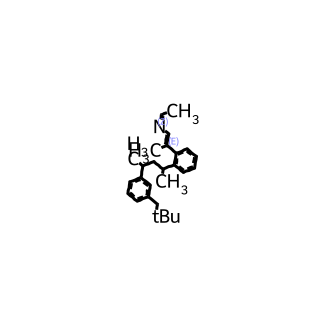 C/C=N\C=C(/C)c1ccccc1C(C)CC(C)c1cccc(CC(C)(C)C)c1